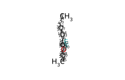 CCCCCC1CCC(C2CCC(CCc3ccc(OCC4CCC(CC)CC4)c(F)c3F)CC2)CC1